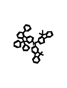 CC1(C)c2ccccc2-c2ccc(N(c3ccc4c(c3)C(C)(C)c3ccccc3-4)c3ccc4c(c3)C(c3ccccc3)(c3ccccc3)c3cccc(-c5ccccc5)c3-4)cc21